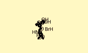 Br.CCOc1cc2c(c(F)c1OCC)C(=N)N(CC(=O)c1cc(N3CC(O)C(O)C3)c(OC)c(C(C)(C)C)c1)C2